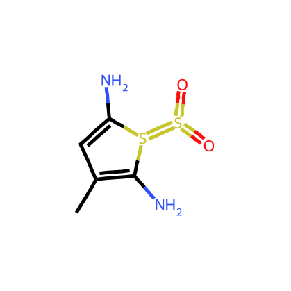 CC1=C(N)S(=S(=O)=O)C(N)=C1